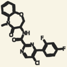 CN1C(=O)C(NC(=O)c2ncc(Cl)c(-c3ccc(F)cc3F)n2)COc2ccccc21